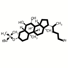 CC(C)CCCC(C)[C@H]1CC[C@H]2[C@@H]3[C@@H](O)[C@H](O)[C@H]4C[C@@H](O[Si](C)(C)C(C)(C)C)CC[C@]4(C)[C@H]3CC[C@]12C